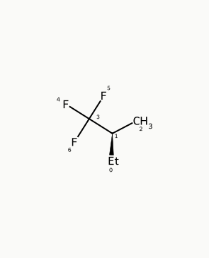 CC[C@H](C)C(F)(F)F